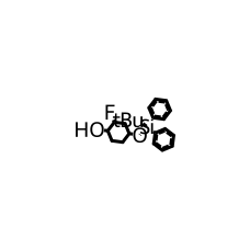 CC(C)(C)[Si](OC1CCC(O)C(F)C1)(c1ccccc1)c1ccccc1